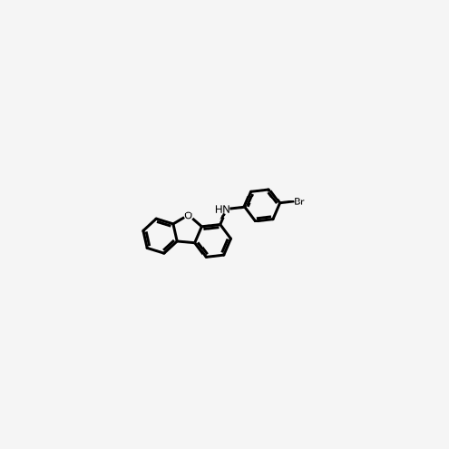 Brc1ccc(Nc2cccc3c2oc2ccccc23)cc1